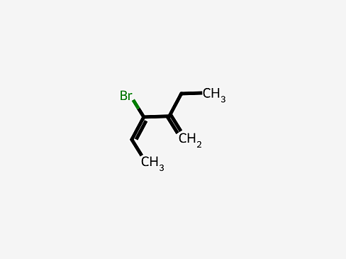 C=C(CC)/C(Br)=C\C